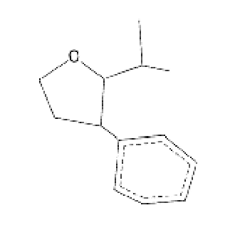 CC(C)C1OCCC1c1ccccc1